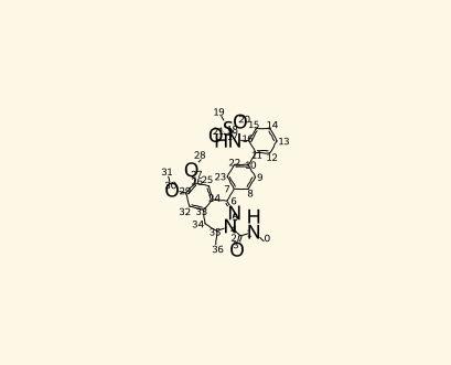 CNC(=O)N1N=C(c2ccc(-c3ccccc3NS(C)(=O)=O)cc2)c2cc(OC)c(OC)cc2CC1C